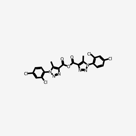 Cc1c(C(=O)OC(=O)c2nnn(-c3ccc(Cl)cc3Cl)c2C)nnn1-c1ccc(Cl)cc1Cl